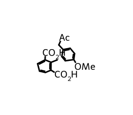 COc1ccc(CC(C)=O)cc1.Cc1c(C(=O)O)cccc1C(=O)O